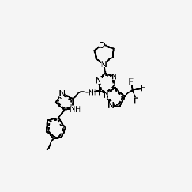 Cc1ccc(-c2cnc(CNc3nc(N4CCOCC4)nc4c(C(F)(F)F)cnn34)[nH]2)cc1